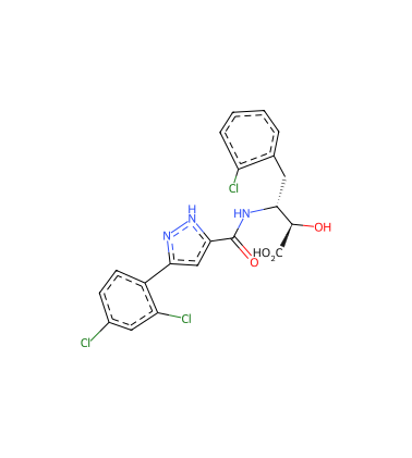 O=C(N[C@H](Cc1ccccc1Cl)[C@@H](O)C(=O)O)c1cc(-c2ccc(Cl)cc2Cl)n[nH]1